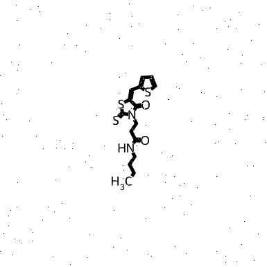 CCCCNC(=O)CCN1C(=O)/C(=C\c2cccs2)SC1=S